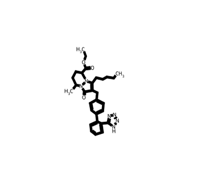 CCCCCc1c(Cc2ccc(-c3ccccc3-c3nnn[nH]3)cc2)c(=O)n2n1C(C(=O)OCC)CCC2C